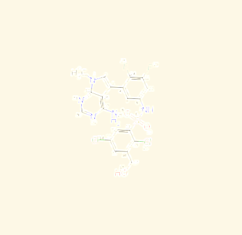 Cn1cc(-c2cc(NS(=O)(=O)c3cc(Cl)cc(CO)c3Cl)cc(F)c2F)c2c(N)ncnc21